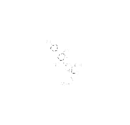 CCc1ccc(-c2cc(C#N)c(N3CCN(C(=O)CCOC)C(C)C3)nc2C(C)C)cc1